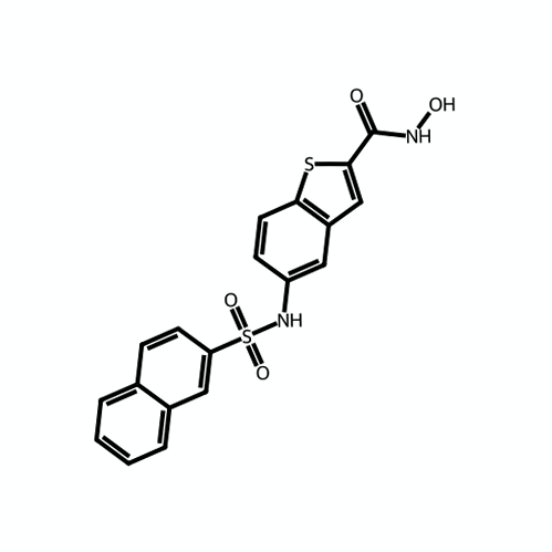 O=C(NO)c1cc2cc(NS(=O)(=O)c3ccc4ccccc4c3)ccc2s1